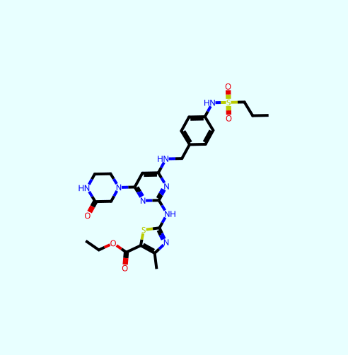 CCCS(=O)(=O)Nc1ccc(CNc2cc(N3CCNC(=O)C3)nc(Nc3nc(C)c(C(=O)OCC)s3)n2)cc1